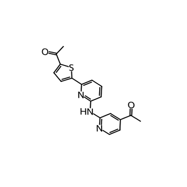 CC(=O)c1ccnc(Nc2cccc(-c3ccc(C(C)=O)s3)n2)c1